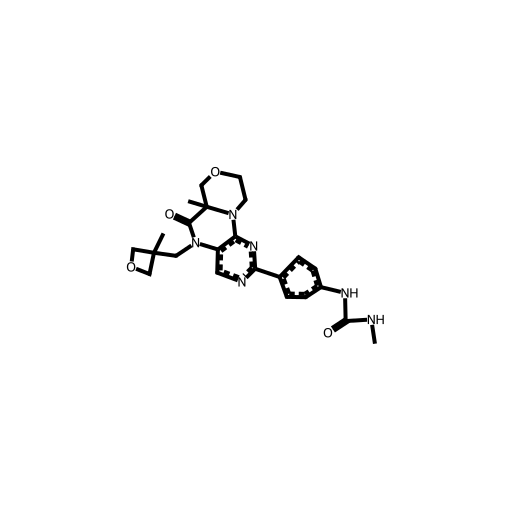 CNC(=O)Nc1ccc(-c2ncc3c(n2)N2CCOCC2(C)C(=O)N3CC2(C)COC2)cc1